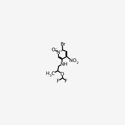 CC(CNc1c[n+]([O-])c(Br)cc1[N+](=O)[O-])OC(F)F